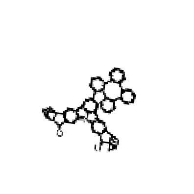 O=C1c2cc3c(cc2C24CCC5(CC52)C14)c1cc(-c2cccc4c2-c2ccccc2-c2ccccc2-c2ccccc2-4)cc2c4cc5c(cc4n3c12)C(=O)C12CC13CCC52C3